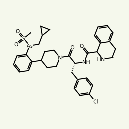 CS(=O)(=O)[As](CC1CC1)c1ccccc1C1CCN(C(=O)[C@@H](Cc2ccc(Cl)cc2)NC(=O)C2N[CH]Cc3ccccc32)CC1